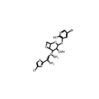 COC1C(Sc2cc(Br)cnc2C#N)OC2COC2C1N(N)/C=C(\N)c1nc(Cl)cs1